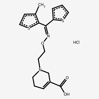 Cc1ccsc1C(=NOCCN1CCC=C(C(=O)O)C1)c1cccs1.Cl